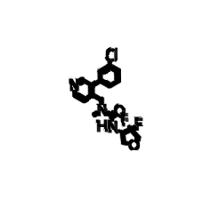 CN(Cc1ccncc1-c1cccc(Cl)c1)C(=O)N[C@H]1COCC1(F)F